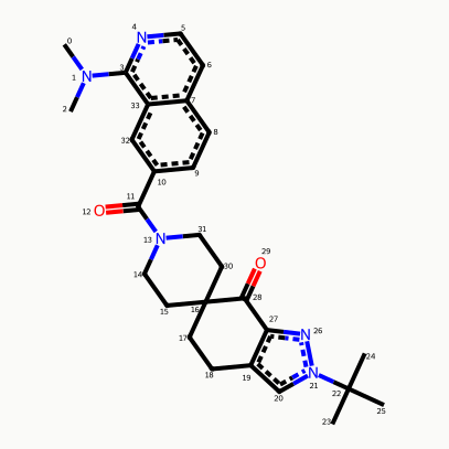 CN(C)c1nccc2ccc(C(=O)N3CCC4(CCc5cn(C(C)(C)C)nc5C4=O)CC3)cc12